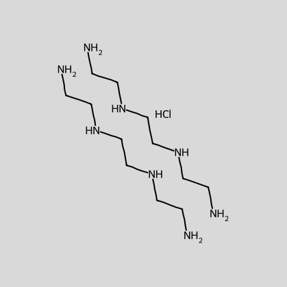 Cl.NCCNCCNCCN.NCCNCCNCCN